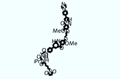 COc1cc2c(cc1OCCCOc1cc3c(cc1OC)C(=O)C1C=C(c4ccc(NC(=O)[C@H](C)NC(=O)[C@@H](NC(=O)CCCCCN5C(=O)C=CC5=O)C(C)C)cc4)C[C@@H](/C=N\3)CC1)N=C[C@@H]1CC(c3ccc(N4CCN(C)CC4)cc3)=CN1C2=O